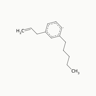 C=CCc1cc[c]c(CCCCC)c1